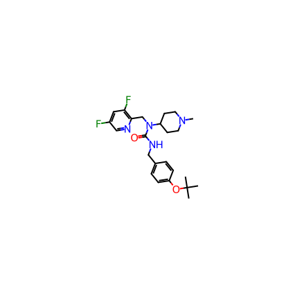 CN1CCC(N(Cc2ncc(F)cc2F)C(=O)NCc2ccc(OC(C)(C)C)cc2)CC1